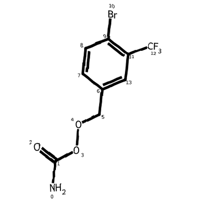 NC(=O)OOCc1ccc(Br)c(C(F)(F)F)c1